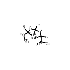 O=C(Cl)C(F)(F)OC(F)(F)OC(F)(F)OC(F)(F)F